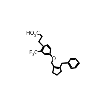 O=C(O)CCc1ccc(OCC2=C(Cc3ccccc3)CCC2)cc1C(F)(F)F